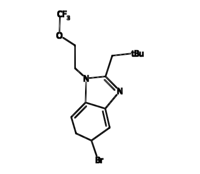 CC(C)(C)Cc1nc2c(n1CCOC(F)(F)F)=CCC(Br)C=2